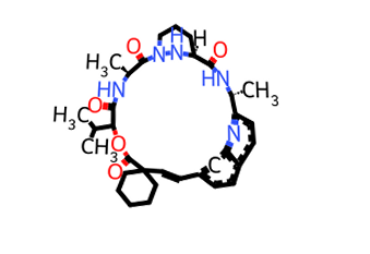 CC(C)C1OC(=O)C2(/C=C/c3ccc4ccc(nc4c3)[C@@H](C)NC(=O)[C@@H]3CCCN(N3)C(=O)[C@H](C)NC1=O)CCCCC2